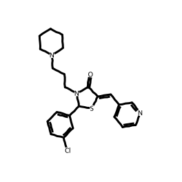 O=C1/C(=C/c2cccnc2)SC(c2cccc(Cl)c2)N1CCCN1CCCCC1